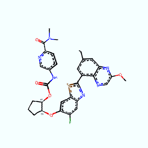 COc1cnc2c(-c3nc4cc(F)c(O[C@H]5CCC[C@H]5OC(=O)Nc5ccc(C(=O)N(C)C)nc5)cc4s3)cc(C)cc2n1